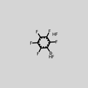 F.F.[B]c1c(F)c(F)c(F)c(F)c1F